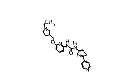 CCN1CCC(COc2cccc(NC(=O)Nc3csc(-c4ccncc4)n3)n2)C1